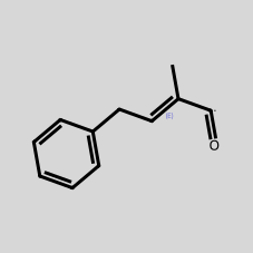 C/C([C]=O)=C\Cc1ccccc1